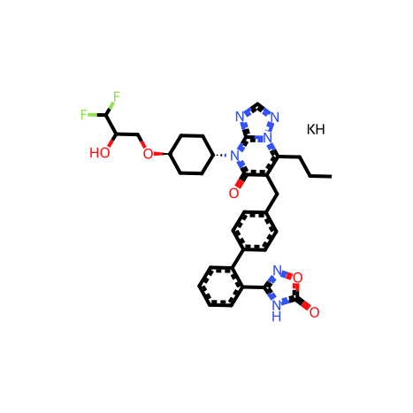 CCCc1c(Cc2ccc(-c3ccccc3-c3noc(=O)[nH]3)cc2)c(=O)n([C@H]2CC[C@H](OCC(O)C(F)F)CC2)c2ncnn12.[KH]